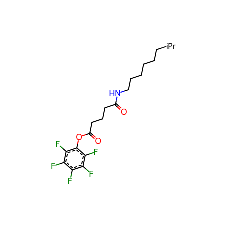 CC(C)CCCCCCNC(=O)CCCC(=O)Oc1c(F)c(F)c(F)c(F)c1F